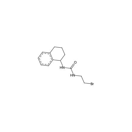 O=C(NCCBr)NC1CCCc2ccccc21